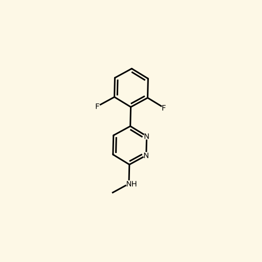 CNc1ccc(-c2c(F)cccc2F)nn1